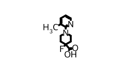 Cc1cccnc1N1CCC(F)(C(=O)O)CC1